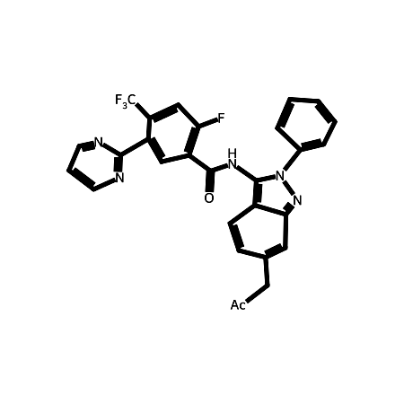 CC(=O)Cc1ccc2c(NC(=O)c3cc(-c4ncccn4)c(C(F)(F)F)cc3F)n(-c3ccccc3)nc2c1